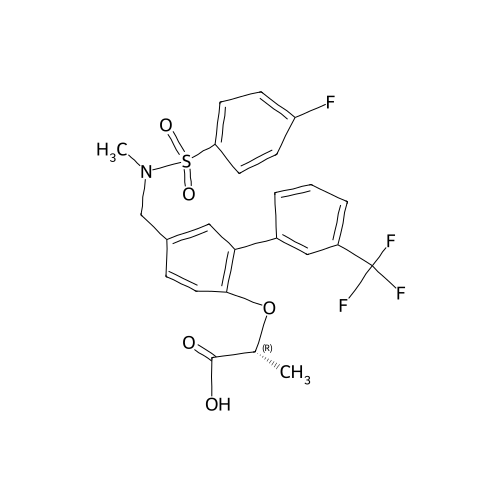 C[C@@H](Oc1ccc(CN(C)S(=O)(=O)c2ccc(F)cc2)cc1-c1cccc(C(F)(F)F)c1)C(=O)O